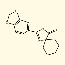 O=C1OC(c2ccc3c(c2)OCO3)=NC12CCCCC2